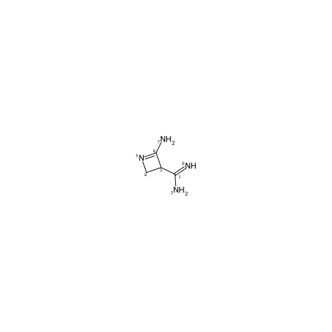 N=C(N)C1CN=C1N